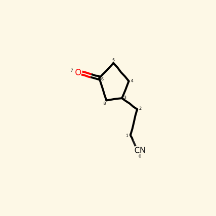 N#CCCC1CCC(=O)C1